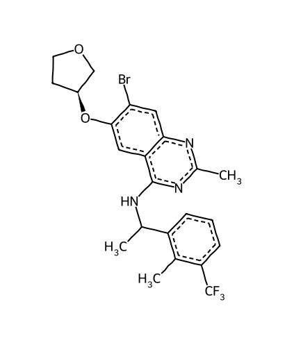 Cc1nc(NC(C)c2cccc(C(F)(F)F)c2C)c2cc(O[C@H]3CCOC3)c(Br)cc2n1